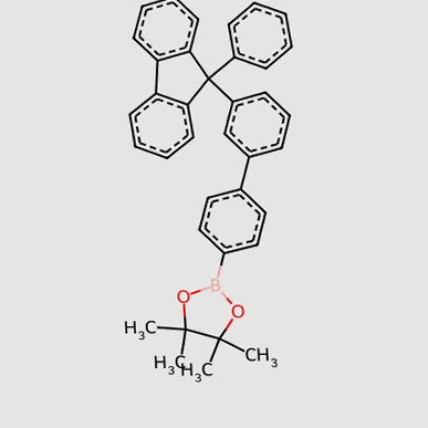 CC1(C)OB(c2ccc(-c3cccc(C4(c5ccccc5)c5ccccc5-c5ccccc54)c3)cc2)OC1(C)C